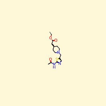 CCOC(=O)C=C1CCN(Cc2cnc(NC(C)=O)s2)CC1